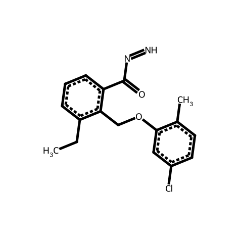 CCc1cccc(C(=O)N=N)c1COc1cc(Cl)ccc1C